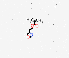 C=C(C)C(=O)OCCC1COC=N1